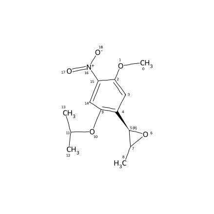 COc1cc([C@H]2OC2C)c(OC(C)C)cc1[N+](=O)[O-]